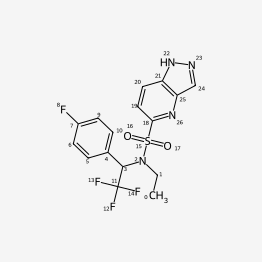 CCN(C(c1ccc(F)cc1)C(F)(F)F)S(=O)(=O)c1ccc2[nH]ncc2n1